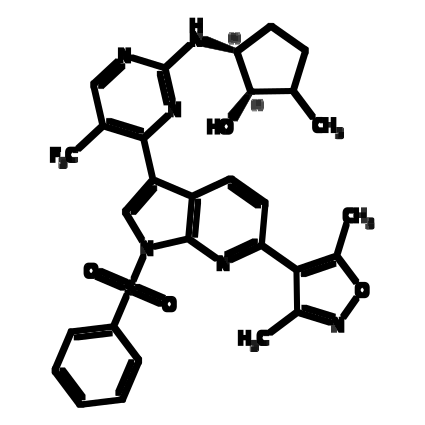 Cc1noc(C)c1-c1ccc2c(-c3nc(N[C@H]4CCC(C)[C@H]4O)ncc3C(F)(F)F)cn(S(=O)(=O)c3ccccc3)c2n1